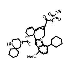 CCCS(=O)(=O)NC(=O)C1=C2Cn3c(cc4c(OC)ccc(C5CCCCC5)c43)C3C(=C21)C=CC[C@H]3C(=O)N1CCNC2(CCCCC2)C1